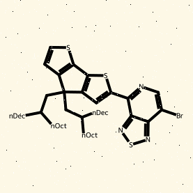 CCCCCCCCCCC(CCCCCCCC)CC1(CC(CCCCCCCC)CCCCCCCCCC)c2ccsc2-c2sc(-c3ncc(Br)c4nsnc34)cc21